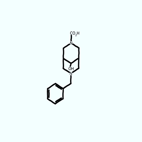 O=C(O)N1CC2CN(Cc3ccccc3)CC(C1)C2O